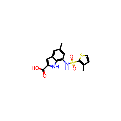 Cc1cc(NS(=O)(=O)c2sccc2C)c2[nH]c(C(=O)O)cc2c1